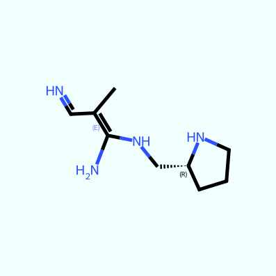 C/C(C=N)=C(/N)NC[C@H]1CCCN1